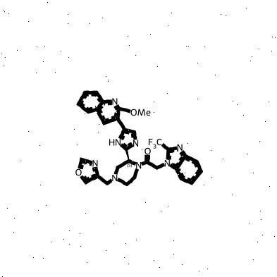 COc1nc2ccccc2cc1-c1cnc([C@@H]2CN(Cc3cocn3)CCN2C(=O)Cn2c(C(F)(F)F)nc3ccccc32)[nH]1